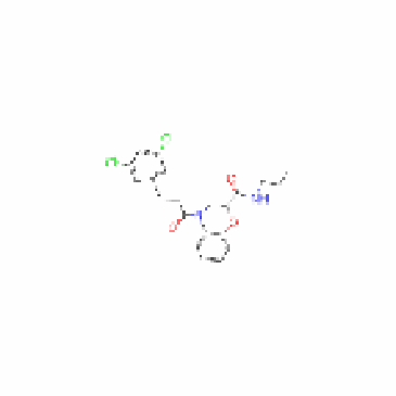 CCCNC(=O)C1CN(C(=O)/C=C/c2cc(Cl)cc(Cl)c2)c2ccccc2O1